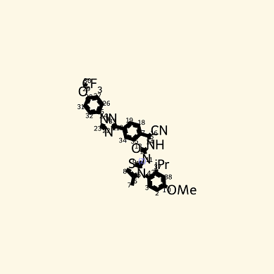 COc1ccc(-n2c(C)cs/c2=N\C(=O)NC(C#N)c2ccc(-c3ncn(-c4ccc(OC(F)(F)F)cc4)n3)cc2)c(C(C)C)c1